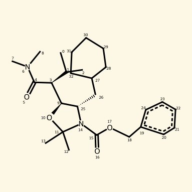 CC(C)[C@H](C(=O)N(C)C)[C@@H]1OC(C)(C)N(C(=O)OCc2ccccc2)[C@H]1CC1CCCCC1